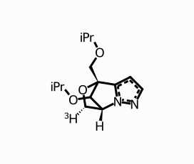 [3H][C@@H]1O[C@]2(COC(C)C)c3ccnn3[C@H]1C2OC(C)C